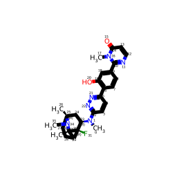 CN(c1ccc(-c2ccc(-c3nccc(=O)n3C)cc2O)nn1)[C@@H]1C[C@@]2(C)CCC3[C@]1(F)[C@@]3(C)N2C